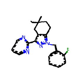 CC1(C)CCc2c(c(-c3ncccn3)nn2Cc2ccccc2F)C1